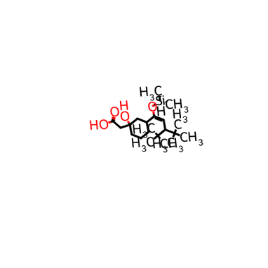 C[SiH](C)OC(=CC(C(C)(C)C)C(C)(C)C)C1CCCC(O)(CC(=O)O)C1